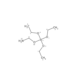 CCO[Si](OCC)(OCC)OCN